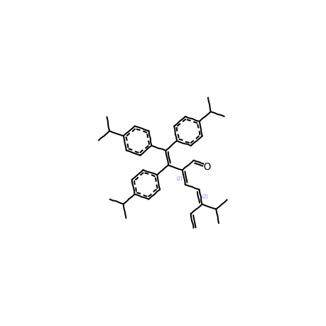 C=C/C(=C\C=C(/C=O)C(=C(c1ccc(C(C)C)cc1)c1ccc(C(C)C)cc1)c1ccc(C(C)C)cc1)C(C)C